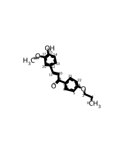 CCCOc1ccc(C(=O)C=Cc2ccc(O)c(OC)c2)cc1